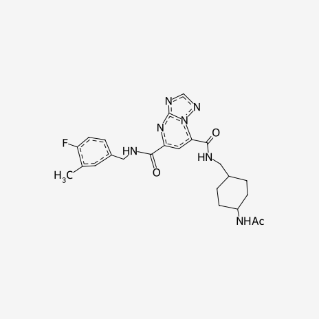 CC(=O)NC1CCC(CNC(=O)c2cc(C(=O)NCc3ccc(F)c(C)c3)nc3ncnn23)CC1